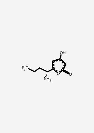 N[C@H](CCC(F)(F)F)c1cc(O)cc(=O)o1